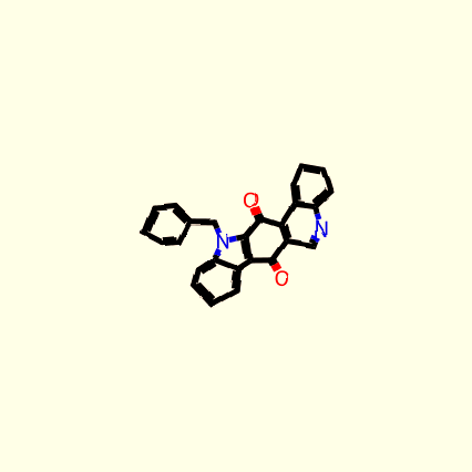 O=C1c2cnc3ccccc3c2C(=O)c2c1c1ccccc1n2Cc1ccccc1